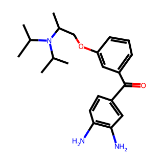 CC(C)N(C(C)C)C(C)COc1cccc(C(=O)c2ccc(N)c(N)c2)c1